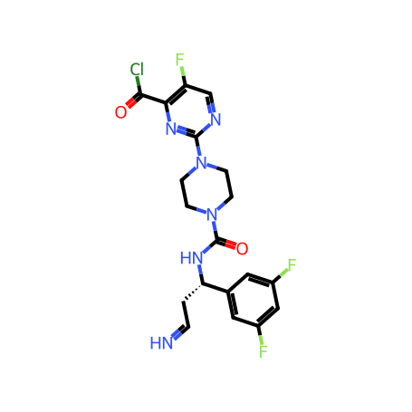 N=CC[C@H](NC(=O)N1CCN(c2ncc(F)c(C(=O)Cl)n2)CC1)c1cc(F)cc(F)c1